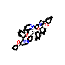 c1ccc([Si](c2ccccc2)(c2cccc3c2oc2c(-c4nccc5c4oc4ccccc45)cccc23)c2nccc3c2oc2c(-c4nccc5c4oc4ccccc45)cccc23)cc1